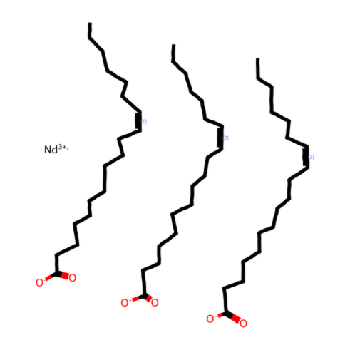 CCCCCC/C=C\CCCCCCCCCC(=O)[O-].CCCCCC/C=C\CCCCCCCCCC(=O)[O-].CCCCCC/C=C\CCCCCCCCCC(=O)[O-].[Nd+3]